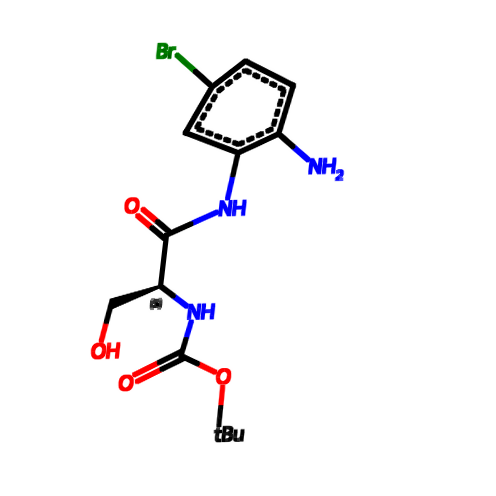 CC(C)(C)OC(=O)N[C@@H](CO)C(=O)Nc1cc(Br)ccc1N